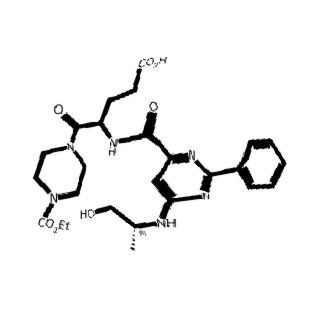 CCOC(=O)N1CCN(C(=O)C(CCC(=O)O)NC(=O)c2cc(N[C@H](C)CO)nc(-c3ccccc3)n2)CC1